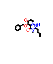 C=CCCC1Nn2ccc(=O)c(OCc3ccccc3)c2C(=O)N1C